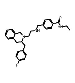 CCNC(=O)c1ccc(CNCCN2Cc3ccccc3CC2Cc2ccc(F)cc2)cc1